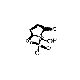 O=C1C=CC(=O)[N+]1(O)S(=O)(=O)[O-]